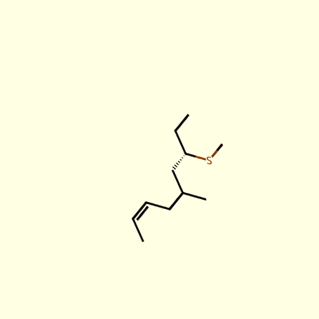 C/C=C\CC(C)C[C@H](CC)SC